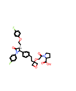 O=C(O)C1CCCN1C(=O)COC1(CCc2ccc(C3[C@@H](CCOc4ccc(F)cc4)C(=O)N3c3ccc(F)cc3)cc2)COC1